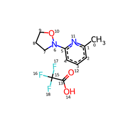 Cc1cccc(N2CCCO2)n1.O=C(O)C(F)(F)F